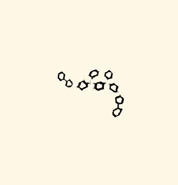 c1ccc(-c2ccc(Oc3cc4c5c(c3)Oc3cc6c(cc3B5c3ccccc3O4)B3c4ccccc4Oc4cc(Oc5ccc(-c7ccccc7)cc5)cc(c43)O6)cc2)cc1